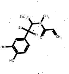 C=CC(=O)N(C)C(C(=O)OCC)C(CC)(CC)c1ccc(O)c(O)c1